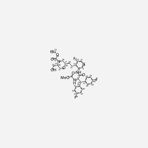 COC(=O)NC(C(=O)Nc1cncc(F)c1CC[C@@H]1CN(C(=O)OC(C)(C)C)[C@H](CO)CO1)C(c1ccc(F)cc1)c1ccc(F)cc1